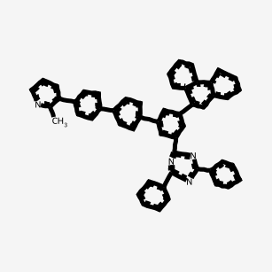 Cc1ncccc1-c1ccc(-c2ccc(-c3cc(-c4nc(-c5ccccc5)nc(-c5ccccc5)n4)cc(-c4cc5ccccc5c5ccccc45)c3)cc2)cc1